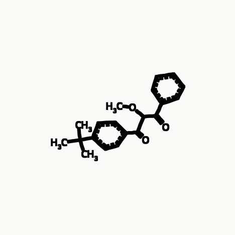 COC(C(=O)c1ccccc1)C(=O)c1ccc(C(C)(C)C)cc1